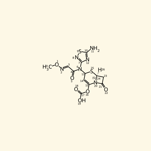 CON=CC(=O)N(c1nsc(N)n1)C1C=C(OC(=O)O)N2C(=O)C[C@@H]2S1